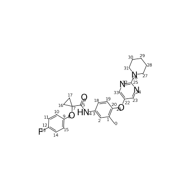 Cc1cc(NC(=O)C2(Oc3ccc(F)cc3)CC2)ccc1Oc1cnc(N2CCCCC2)nc1